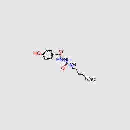 CCCCCCCCCCCCCCNC(=O)NNC(=O)c1ccc(O)cc1